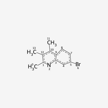 Cc1nc2cc(Br)ccc2c(C)c1C